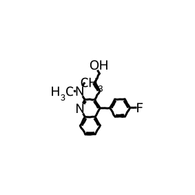 CN(C)c1nc2ccccc2c(-c2ccc(F)cc2)c1/C=C/CO